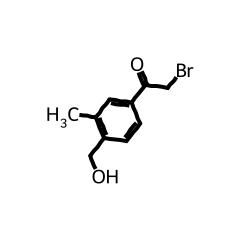 Cc1cc(C(=O)CBr)ccc1CO